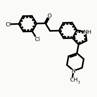 CN1CC=C(c2c[nH]c3ccc(CC(=O)c4ccc(Cl)cc4Cl)cc23)CC1